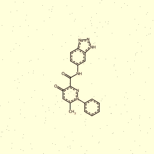 Cc1cc(=O)c(C(=O)Nc2ccc3nn[nH]c3c2)nn1-c1ccccc1